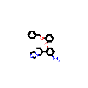 CCC(CN1C=NCC1)c1cc(N)ccc1Oc1ccccc1OCc1ccccc1